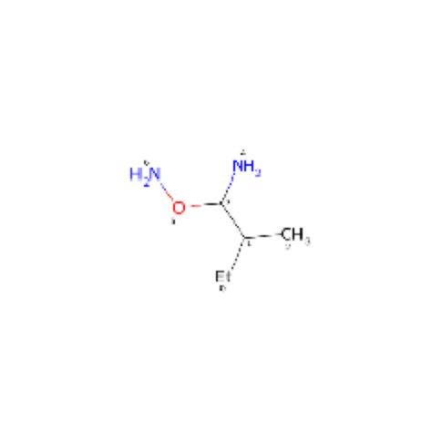 CCC(C)C(N)ON